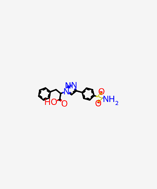 NS(=O)(=O)c1ccc(-c2cn(C(Cc3ccccc3)C(=O)O)nn2)cc1